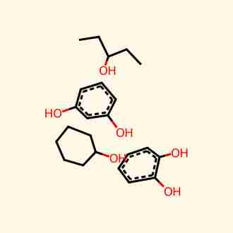 CCC(O)CC.OC1CCCCC1.Oc1cccc(O)c1.Oc1ccccc1O